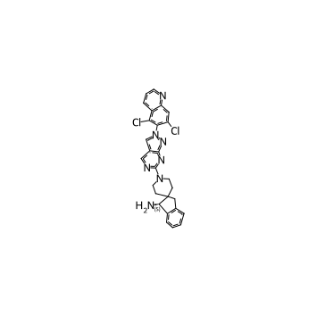 N[C@@H]1c2ccccc2CC12CCN(c1ncc3cn(-c4c(Cl)cc5ncccc5c4Cl)nc3n1)CC2